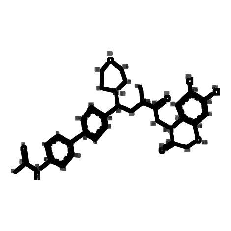 CC(=O)Nc1ccc(-c2ccc(C(CN(C)C(=O)CN3C(=O)COc4cc(Cl)c(Cl)cc43)N3CCOCC3)cc2)cc1